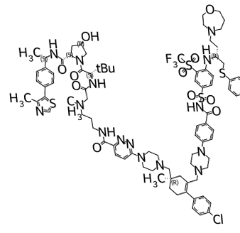 Cc1ncsc1-c1ccc([C@H](C)NC(=O)[C@@H]2C[C@@H](O)CN2C(=O)[C@@H](NC(=O)CN(C)CCCNC(=O)c2ccc(N3CCN(C[C@]4(C)CCC(c5ccc(Cl)cc5)=C(CN5CCN(c6ccc(C(=O)NS(=O)(=O)c7ccc(N[C@H](CCN8CCCOCC8)CSc8ccccc8)c(S(=O)(=O)C(F)(F)F)c7)cc6)CC5)C4)CC3)nn2)C(C)(C)C)cc1